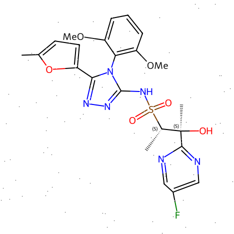 COc1cccc(OC)c1-n1c(NS(=O)(=O)[C@@H](C)[C@@](C)(O)c2ncc(F)cn2)nnc1-c1ccc(C)o1